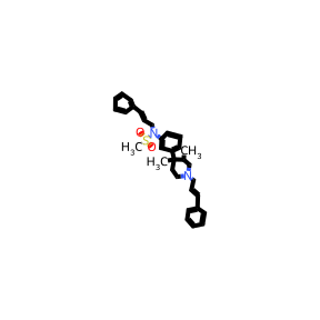 CC1CN(CC=Cc2ccccc2)CCC1(C)c1cccc(N(CC=Cc2ccccc2)S(C)(=O)=O)c1